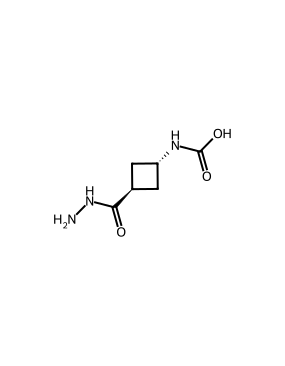 NNC(=O)[C@H]1C[C@H](NC(=O)O)C1